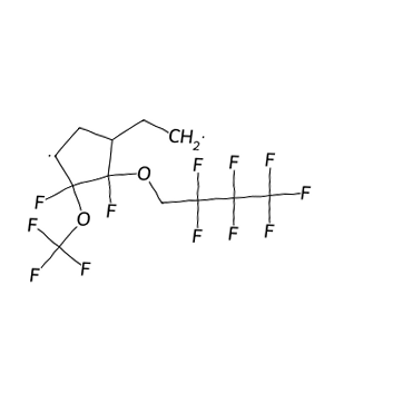 [CH2]CC1C[CH]C(F)(OC(F)(F)F)C1(F)OCC(F)(F)C(F)(F)C(F)(F)F